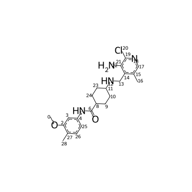 COc1cc(NC(=O)C2CCC(NCc3c(C)cnc(Cl)c3N)CC2)ccc1C